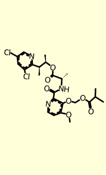 COc1ccnc(C(=O)N[C@@H](C)C(=O)O[C@H](C)[C@@H](C)c2ncc(Cl)cc2Cl)c1OCOC(=O)C(C)C